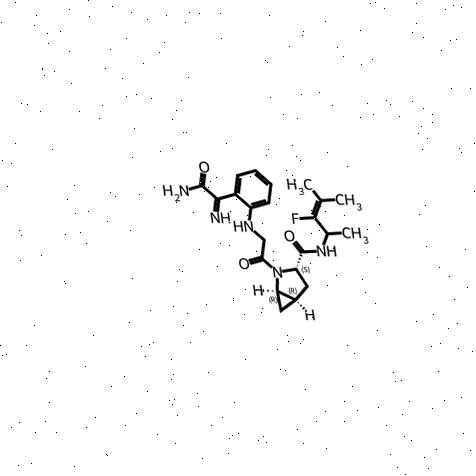 CC(C)=C(F)C(C)NC(=O)[C@@H]1C[C@H]2C[C@H]2N1C(=O)CNc1ccccc1C(=N)C(N)=O